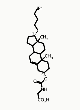 CC(C)CCCC[C@H]1CCC2C3CC=C4C[C@@H](OC(=O)NCC(=O)O)CCC4(C)C3CCC21C